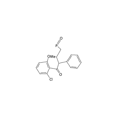 COc1cccc(Cl)c1C(=O)C(CCP=O)c1ccccc1